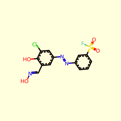 O=S(=O)(F)c1cccc(/N=N/c2cc(Cl)c(O)c(/C=N/O)c2)c1